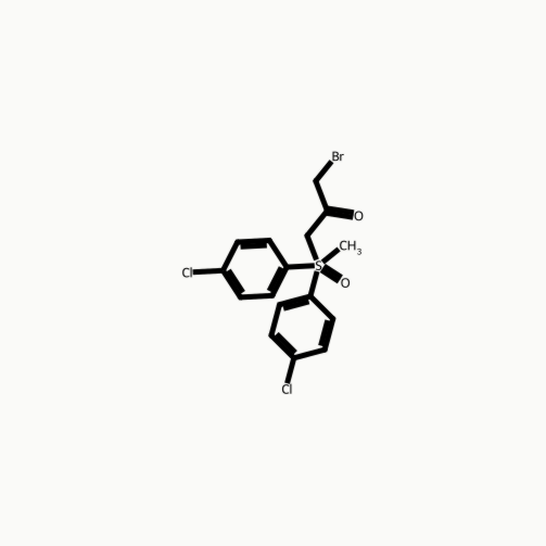 CS(=O)(CC(=O)CBr)(c1ccc(Cl)cc1)c1ccc(Cl)cc1